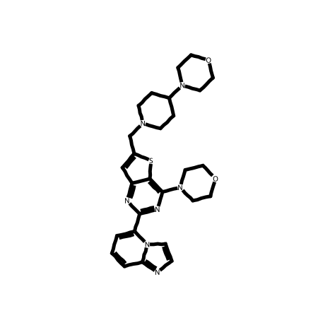 c1cc(-c2nc(N3CCOCC3)c3sc(CN4CCC(N5CCOCC5)CC4)cc3n2)n2ccnc2c1